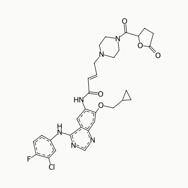 O=C(C=CCN1CCN(C(=O)C2CCC(=O)O2)CC1)Nc1cc2c(Nc3ccc(F)c(Cl)c3)ncnc2cc1OCC1CC1